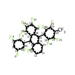 Fc1cc(F)c(F)c(-c2c3c(F)cccc3c(-c3c(F)c(F)c(C(F)(F)F)c(F)c3F)c3c(F)c(F)c(F)c(F)c23)c1F